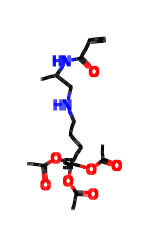 C=CC(=O)NC(C)CNCCC[Si](OC(C)=O)(OC(C)=O)OC(C)=O